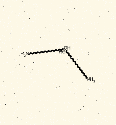 NCCCCCCCCCCCCCCCCCCCC[Si](O)(O)CCCCCCCCCCCCCCCCCCCCN